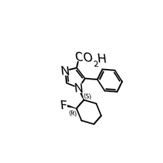 O=C(O)c1ncn([C@H]2CCCC[C@H]2F)c1-c1ccccc1